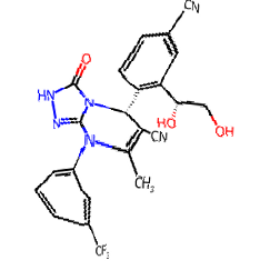 CC1=C(C#N)[C@@H](c2ccc(C#N)cc2[C@@H](O)CO)n2c(n[nH]c2=O)N1c1cccc(C(F)(F)F)c1